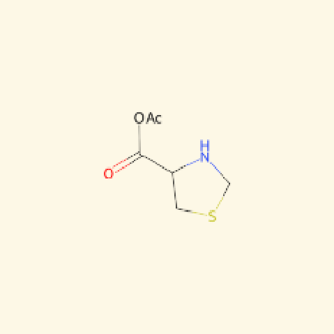 CC(=O)OC(=O)C1CSCN1